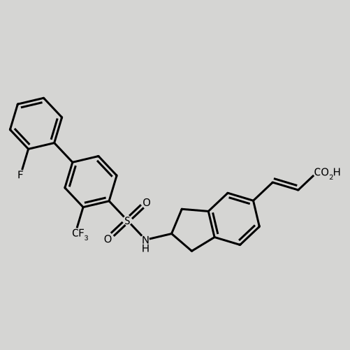 O=C(O)C=Cc1ccc2c(c1)CC(NS(=O)(=O)c1ccc(-c3ccccc3F)cc1C(F)(F)F)C2